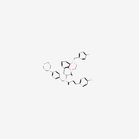 CC(=O)Nc1ccc(C=CC(=O)N(Cc2ccc(N3CCN(C(C)=O)CC3)cc2)C(Cc2ccccc2)C(=O)N2CCN(Cc3ccc(Cl)cc3)CC2)cc1